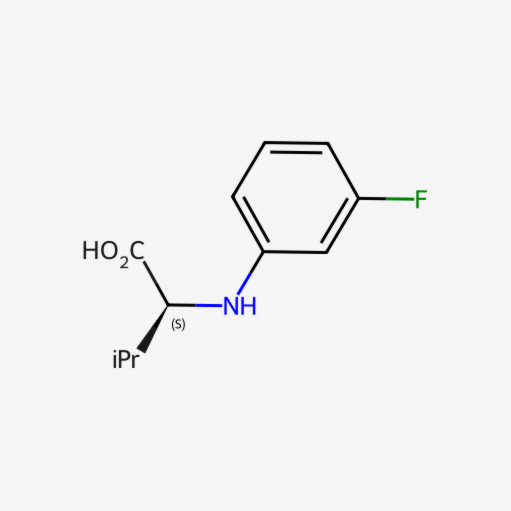 CC(C)[C@H](Nc1cccc(F)c1)C(=O)O